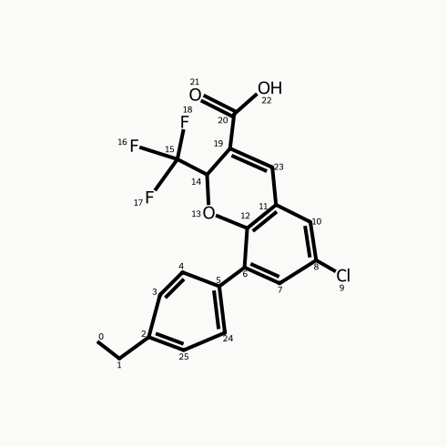 CCc1ccc(-c2cc(Cl)cc3c2OC(C(F)(F)F)C(C(=O)O)=C3)cc1